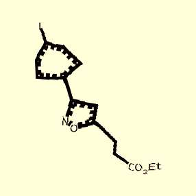 CCOC(=O)CCc1cc(-c2ccc(I)cc2)no1